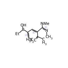 C=C(C)C(=C\C(=C/C)B(O)CC)/C(=N\C)NC